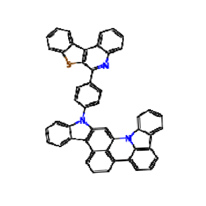 c1ccc2c(c1)nc(-c1ccc(-n3c4ccccc4c4c5cccc6c7cccc8c9ccccc9n(c(cc43)c65)c78)cc1)c1sc3ccccc3c12